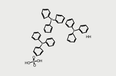 O=S(=O)(O)O.[HH].c1ccc(P(c2ccccc2)c2ccccc2)cc1.c1ccc(P(c2ccccc2)c2ccccc2)cc1.c1ccc(P(c2ccccc2)c2ccccc2)cc1